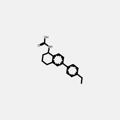 CCc1ccc(-c2ccc3c(c2)CCCC3NC(=O)O)cc1